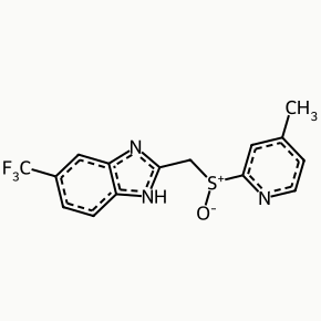 Cc1ccnc([S+]([O-])Cc2nc3cc(C(F)(F)F)ccc3[nH]2)c1